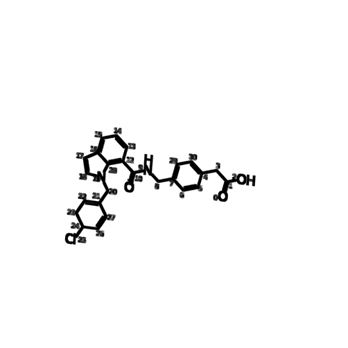 O=C(O)Cc1ccc(CNC(=O)c2cccc3ccn(CC4=CCC(Cl)C=C4)c23)cc1